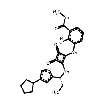 CC[C@@H](Nc1c(Nc2cccc(C(=O)NC)c2O)c(=O)c1=O)c1cc(C2CCCC2)co1